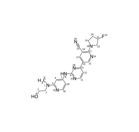 CN(CCO)c1cc(Nc2nccc(-c3cnc(N4CCC(F)C4)c(C#N)c3)n2)ccn1